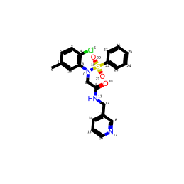 Cc1ccc(Cl)c(N(CC(=O)NCc2cccnc2)S(=O)(=O)c2ccccc2)c1